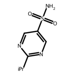 CC(C)c1ncc(S(N)(=O)=O)cn1